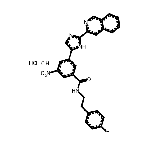 Cl.Cl.O=C(NCCc1ccc(F)cc1)c1cc(-c2cnc(-c3cc4ccccc4cn3)[nH]2)cc([N+](=O)[O-])c1